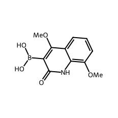 COc1c(B(O)O)c(=O)[nH]c2c(OC)cccc12